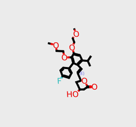 COCCOc1cc(C(C)C)c(/C=C/C2CC(O)CC(=O)O2)c(-c2ccc(F)cc2)c1OCCOC